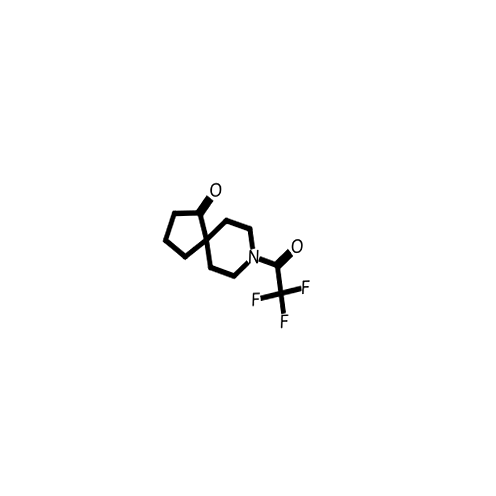 O=C(N1CCC2(CCCC2=O)CC1)C(F)(F)F